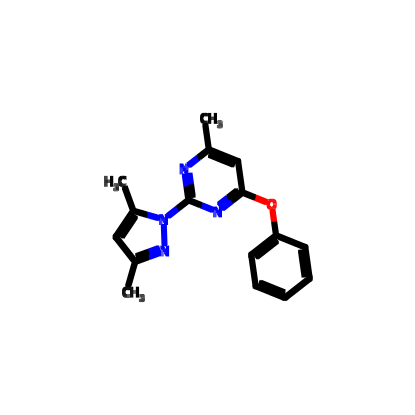 Cc1cc(Oc2ccccc2)nc(-n2nc(C)cc2C)n1